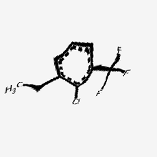 CCc1cccc(C(F)(F)F)c1Cl